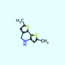 Cc1cc2c(s1)-c1sc(C)cc1NC2